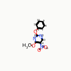 COc1nc(Oc2ccccc2)ncc1[N+](=O)[O-]